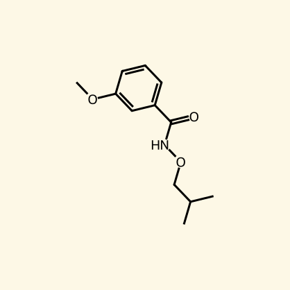 COc1cccc(C(=O)NOCC(C)C)c1